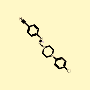 N#Cc1ccc(/N=N/N2CCN(c3ccc(Cl)cc3)CC2)cc1